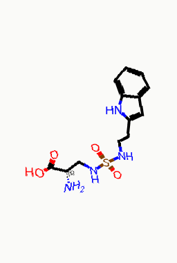 N[C@@H](CNS(=O)(=O)NCCc1cc2ccccc2[nH]1)C(=O)O